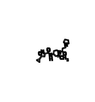 C[C@H]1CC(NC(=O)c2cc(C3CC3)on2)CCN1C(=O)CCN1CCCC1